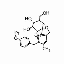 Cc1cc2c(cc1Cc1ccc(OC(C)C)cc1)[C@]1(OC2)S[C@H](CO)[C@@H](O)[C@H](O)[C@H]1O